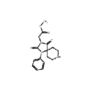 COC(=O)CN1C(=O)N(c2ccccc2)C2(CCNCC2)C1=O